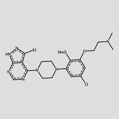 CCc1n[nH]c2ncnc(N3CCN(c4cc(Cl)cc(OCCN(C)C)c4OC)CC3)c12